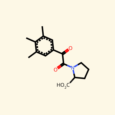 Cc1cc(C(=O)C(=O)N2CCCC2C(=O)O)cc(C)c1C